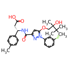 Cc1ccc([C@H](CC(=O)O)NC(=O)c2cc(OC[C@](C)(O)C(C)(C)C)n(-c3cccc(F)c3)n2)cc1